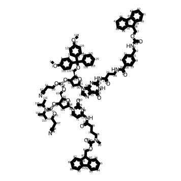 COc1ccc(C(OC[C@H]2O[C@@H](n3cnc4c(=O)[nH]c(NC(=O)CCNC(=O)c5ccc(CNC(=O)OCC6c7ccccc7-c7ccccc76)cc5)nc43)CC2OP(OCCC#N)OC[C@H]2O[C@@H](n3ccc(NC(=O)CCCN(C)C(=O)OCC4c5ccccc5-c5ccccc54)nc3=O)CC2OP(OCCC#N)N(C(C)C)C(C)C)(c2ccccc2)c2ccc(OC)cc2)cc1